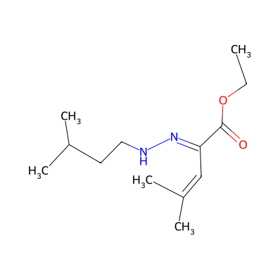 CCOC(=O)C(C=C(C)C)=NNCCC(C)C